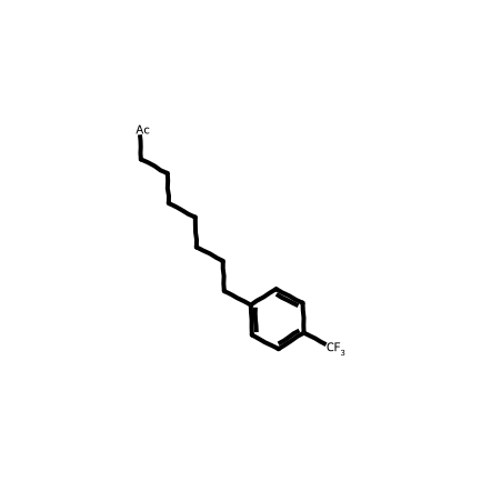 CC(=O)CCCCCCCc1ccc(C(F)(F)F)cc1